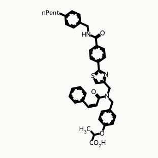 CCCCCc1ccc(CNC(=O)c2ccc(-c3nc(CN(Cc4ccc(OC(C)C(=O)O)cc4)C(=O)C=Cc4ccccc4)cs3)cc2)cc1